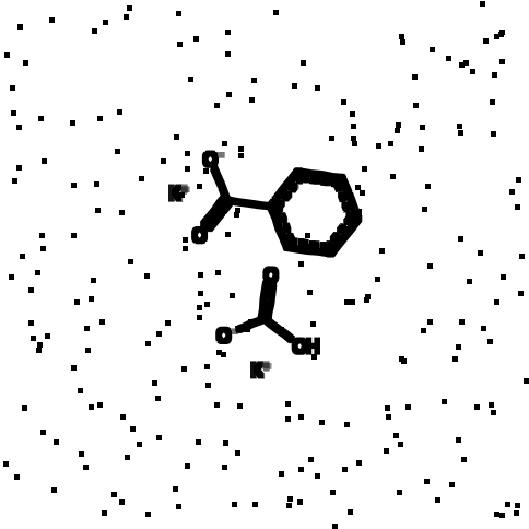 O=C([O-])O.O=C([O-])c1ccccc1.[K+].[K+]